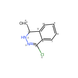 O=CC1NN=C(Cl)c2ccccc21